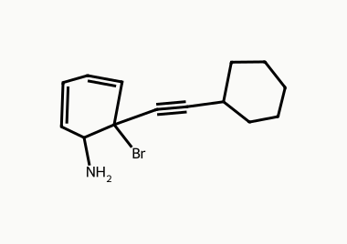 NC1C=CC=CC1(Br)C#CC1CCCCC1